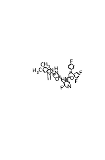 Cc1cc2nc([C@@H]3CO[C@H](CCc4c(F)cncc4NC(=O)C[C@@H](c4ccc(F)cc4)c4cc(F)cc(F)c4)CN3)[nH]c2cc1C